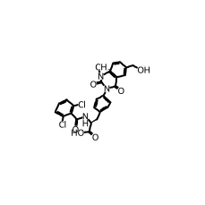 Cn1c(=O)n(-c2ccc(C[C@H](NC(=O)c3c(Cl)cccc3Cl)C(=O)O)cc2)c(=O)c2cc(CO)ccc21